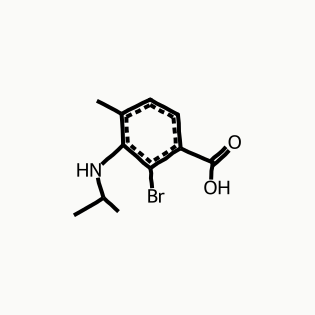 Cc1ccc(C(=O)O)c(Br)c1NC(C)C